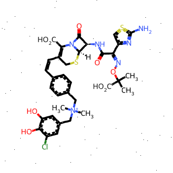 CC(C)(O/N=C(\C(=O)N[C@@H]1C(=O)N2C(C(=O)O)=C(/C=C\c3ccc(C[N+](C)(C)Cc4cc(O)c(O)c(Cl)c4)cc3)CS[C@H]12)c1csc(N)n1)C(=O)O